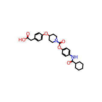 O=C(O)Cc1ccc(OC2CCN(C(=O)Oc3ccc(NC(=O)C4CCCCC4)cc3)CC2)cc1